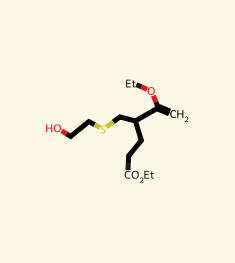 C=C(OCC)C(CCC(=O)OCC)CSCCO